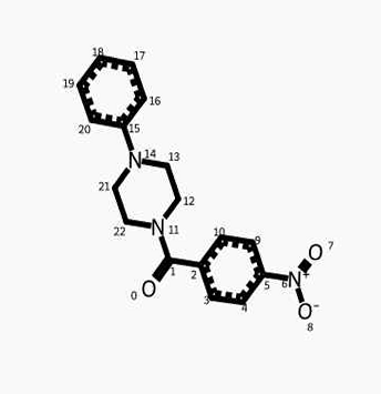 O=C(c1ccc([N+](=O)[O-])cc1)N1CCN(c2ccccc2)CC1